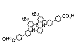 CC(C)(C)c1cc2c3c(c1)c1cc(-c4ccc(OC=O)cc4)ccc1n3-c1cccc3c1B2c1cc(C(C)(C)C)cc2c4cc(-c5ccc(C(=O)O)cc5)ccc4n-3c12